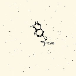 CC(C)(C)[Si](C)(C)Oc1cnc2[nH]ncc2c1